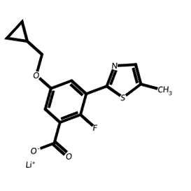 Cc1cnc(-c2cc(OCC3CC3)cc(C(=O)[O-])c2F)s1.[Li+]